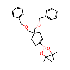 CC1(C)OB(C2=CCC(COCc3ccccc3)(COCc3ccccc3)CC2)OC1(C)C